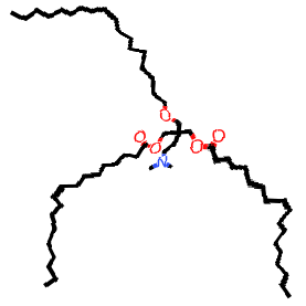 CCCCCCCC/C=C\CCCCCCCCOCC(CCN(C)C)(COC(=O)CCCCCCC/C=C\CCCCCCCC)COC(=O)CCCCCCC/C=C\CCCCCCCC